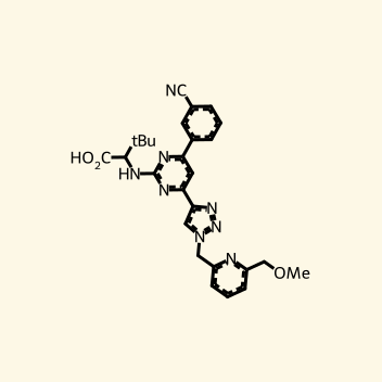 COCc1cccc(Cn2cc(-c3cc(-c4cccc(C#N)c4)nc(NC(C(=O)O)C(C)(C)C)n3)nn2)n1